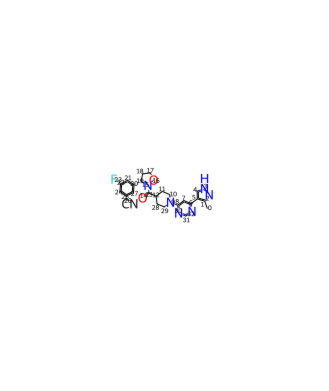 Cc1n[nH]cc1-c1cc(N2CCC(C(=O)N3OCC[C@H]3c3cc(F)cc(C#N)c3)CC2)ncn1